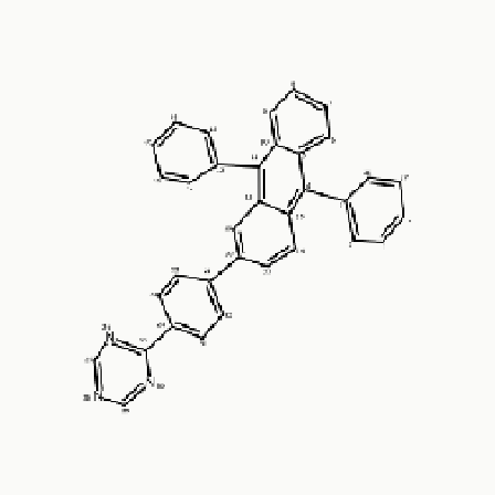 c1ccc(-c2c3ccccc3c(-c3ccccc3)c3cc(-c4ccc(-c5ncncn5)cc4)ccc23)cc1